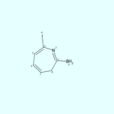 BC1=NC(I)=CC=CC1